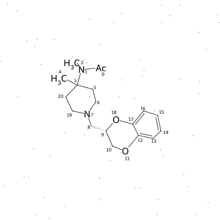 CC(=O)N(C)C1(C)CCN(C[C@H]2COc3ccccc3O2)CC1